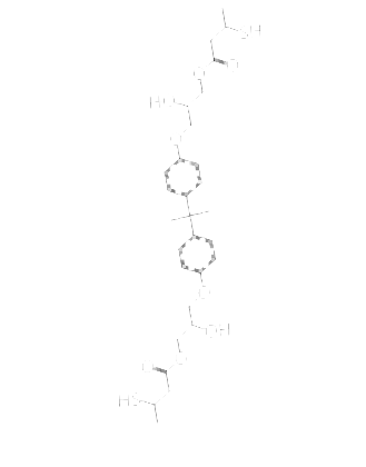 CC(S)CC(=O)OCC(O)COc1ccc(C(C)(C)c2ccc(OCC(O)COC(=O)CC(C)S)cc2)cc1